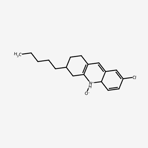 CCCCCC1CCC2=C(C1)[NH+]([O-])C1C=CC(Cl)=CC1=C2